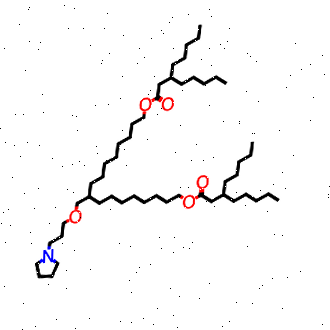 CCCCCC(CCCCC)CC(=O)OCCCCCCCCC(CCCCCCCCOC(=O)CC(CCCCC)CCCCC)COCCCN1CCCC1